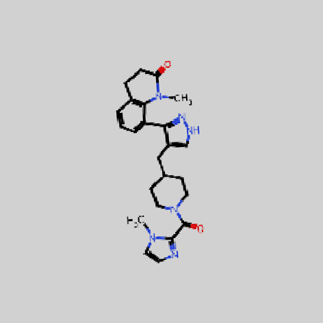 CN1C(=O)CCc2cccc(-c3n[nH]cc3CC3CCN(C(=O)c4nccn4C)CC3)c21